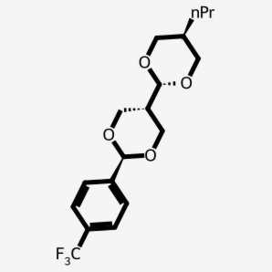 CCC[C@H]1CO[C@H]([C@H]2CO[C@H](c3ccc(C(F)(F)F)cc3)OC2)OC1